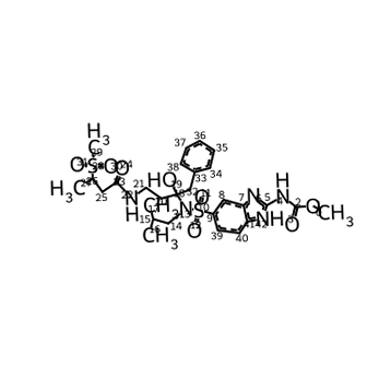 COC(=O)Nc1nc2cc(S(=O)(=O)N(CC(C)C)C(O)(CCNC(=O)CC(C)S(C)(=O)=O)Cc3ccccc3)ccc2[nH]1